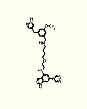 FC(F)(F)Oc1cc(CNCCCCOCCNc2cc(-n3cnnc3)cc3[nH]ncc23)cc(Cc2cn[nH]c2)c1